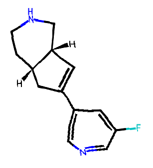 Fc1cncc(C2=C[C@H]3CNCC[C@H]3C2)c1